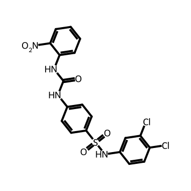 O=C(Nc1ccc(S(=O)(=O)Nc2ccc(Cl)c(Cl)c2)cc1)Nc1ccccc1[N+](=O)[O-]